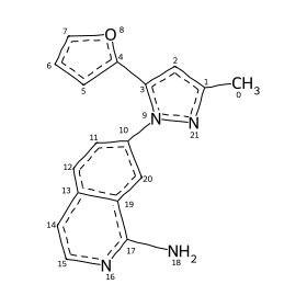 Cc1cc(-c2ccco2)n(-c2ccc3ccnc(N)c3c2)n1